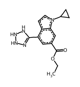 CCOC(=O)c1cc(C2=NNNN2)c2ccn(C3CC3)c2c1